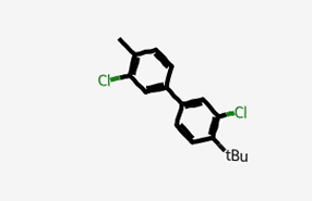 Cc1ccc(-c2ccc(C(C)(C)C)c(Cl)c2)cc1Cl